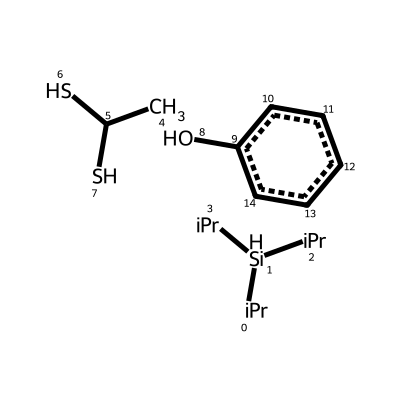 CC(C)[SiH](C(C)C)C(C)C.CC(S)S.Oc1ccccc1